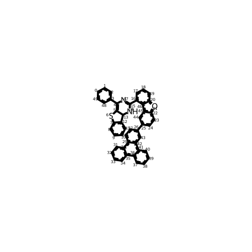 c1ccc(C2=C3Sc4ccccc4C3NC(c3cccc4oc5ccc(-c6ccc7c8ccccc8c8ccccc8c7c6)cc5c34)=N2)cc1